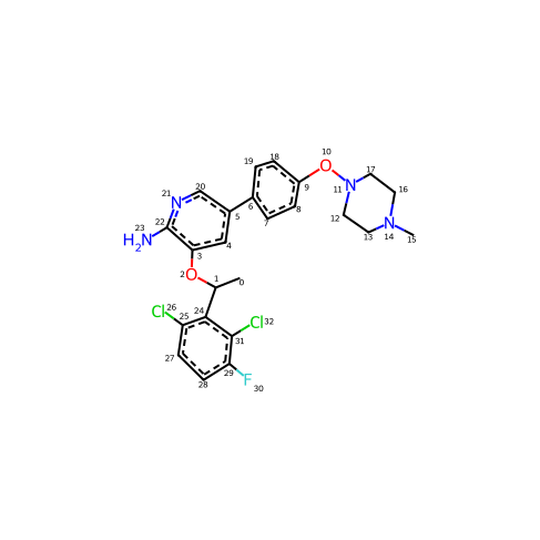 CC(Oc1cc(-c2ccc(ON3CCN(C)CC3)cc2)cnc1N)c1c(Cl)ccc(F)c1Cl